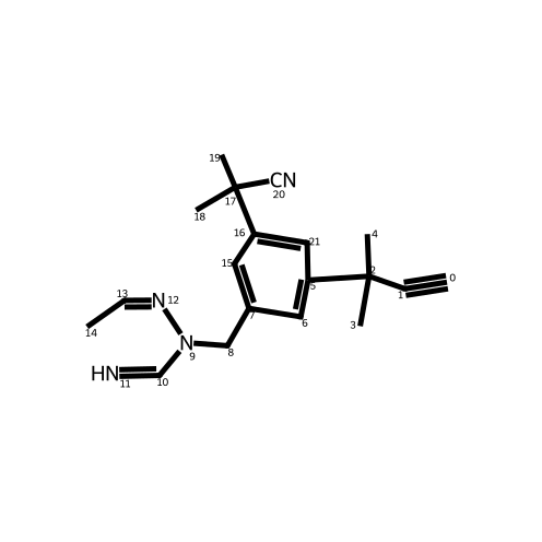 C#CC(C)(C)c1cc(CN(C=N)/N=C\C)cc(C(C)(C)C#N)c1